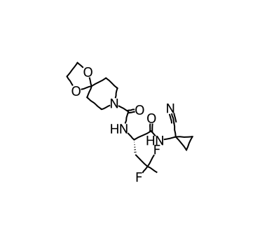 CC(F)(F)C[C@H](NC(=O)N1CCC2(CC1)OCCO2)C(=O)NC1(C#N)CC1